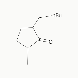 CCCCCC1CCC(C)C1=O